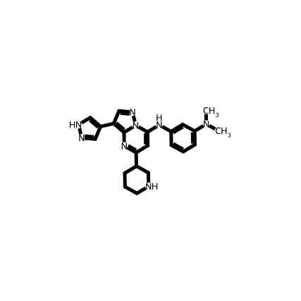 CN(C)c1cccc(Nc2cc(C3CCCNC3)nc3c(-c4cn[nH]c4)cnn23)c1